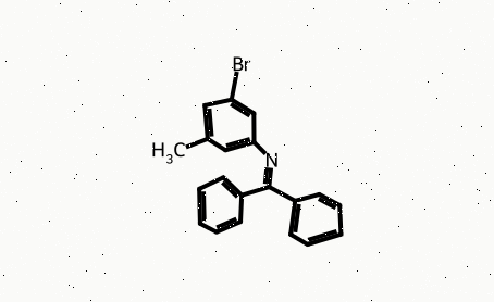 Cc1cc(Br)cc(N=C(c2ccccc2)c2ccccc2)c1